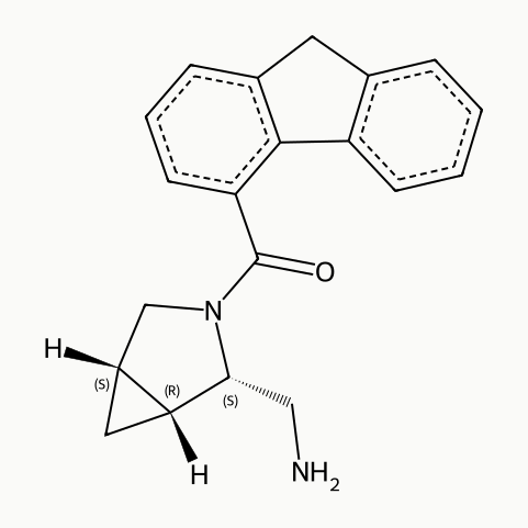 NC[C@@H]1[C@@H]2C[C@@H]2CN1C(=O)c1cccc2c1-c1ccccc1C2